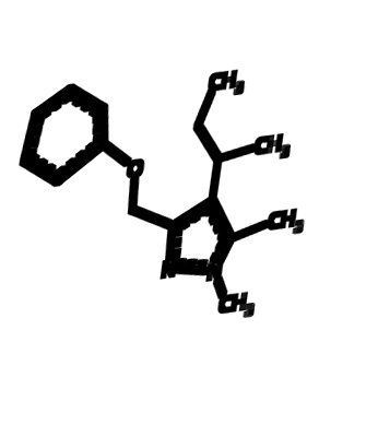 CCC(C)c1c(COc2ccccc2)nn(C)c1C